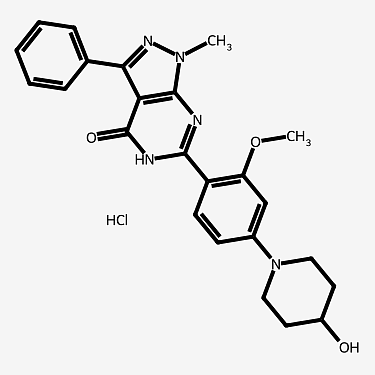 COc1cc(N2CCC(O)CC2)ccc1-c1nc2c(c(-c3ccccc3)nn2C)c(=O)[nH]1.Cl